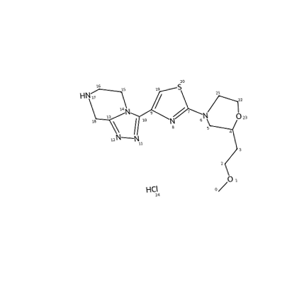 COCCC1CN(c2nc(-c3nnc4n3CCNC4)cs2)CCO1.Cl